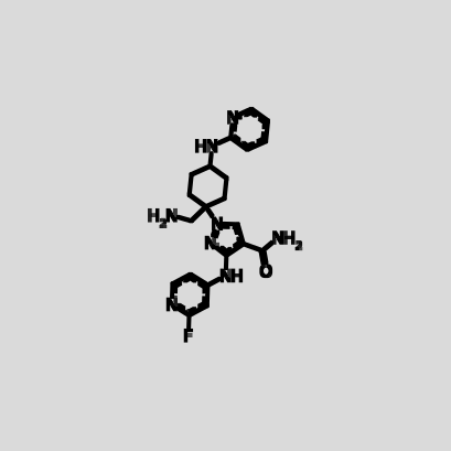 NCC1(n2cc(C(N)=O)c(Nc3ccnc(F)c3)n2)CCC(Nc2ccccn2)CC1